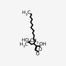 CCCCCCCCCCCCC(CC(C)(C)O)C1=CC(=O)OC1O